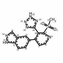 CS(=O)(=O)c1nccc(-c2ccc3[nH]ncc3c2)c1-c1nn[nH]n1